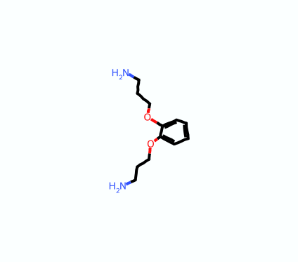 NCCCOc1ccccc1OCCCN